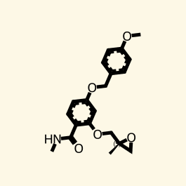 CNC(=O)c1ccc(OCc2ccc(OC)cc2)cc1OC[C@@]1(C)CO1